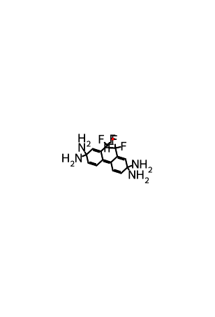 NC1(N)C=C/C(=C2\C=CC(N)(N)C=C2C(F)(F)F)C(C(F)(F)F)=C1